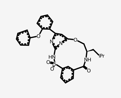 CC(C)C[C@@H]1COc2cc(-c3ccccc3Oc3ccccc3)nc(n2)NS(=O)(=O)c2cccc(c2)C(=O)N1